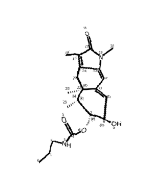 CCCNC(=O)O[C@H]1[C@H](O)C=C2C=C3C(=C(C)C(=O)N3C)C[C@]2(C)[C@H]1C